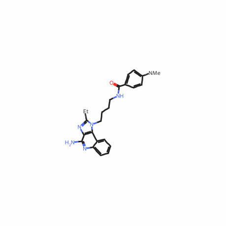 CCc1nc2c(N)nc3ccccc3c2n1CCCCNC(=O)c1ccc(NC)cc1